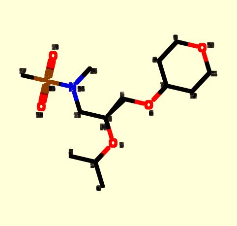 CC(C)O[C@H](COC1CCOCC1)CN(C)S(C)(=O)=O